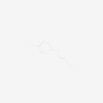 CCC=COc1ccc(Cl)cc1Cl